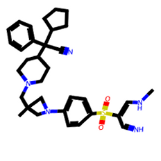 CN/C=C(\C=N)S(=O)(=O)c1ccc(N2CC(C)(CN3CCC(C(C#N)(c4ccccc4)C4CCCC4)CC3)C2)cc1